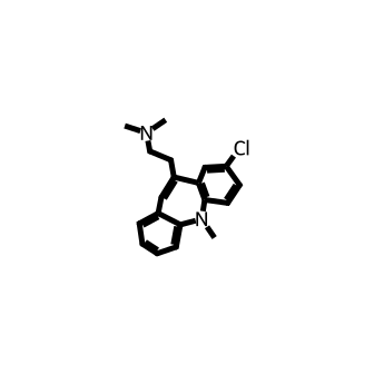 CN(C)CCC1=Cc2ccccc2N(C)c2ccc(Cl)cc21